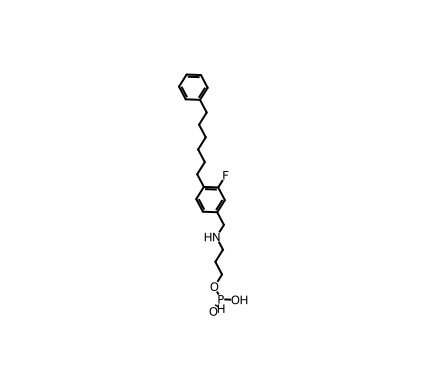 O=[PH](O)OCCCNCc1ccc(CCCCCCc2ccccc2)c(F)c1